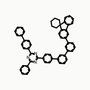 c1ccc(-c2ccc(-c3nc(-c4ccccc4)nc(-c4ccc(-c5cccc(-c6cccc(-c7ccc8c(c7)-c7ccccc7C87CCCCC7)c6)c5)cc4)n3)cc2)cc1